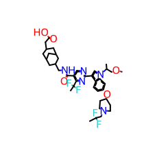 COCC(C)n1cc(-c2ncc(C(=O)NCC3CC4CC(CC(=O)O)CC(C3)C4)c(C(C)(F)F)n2)c2ccc(OC3CCN(CC(C)(F)F)CC3)cc21